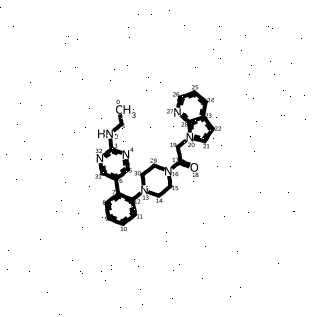 CCNc1ncc(-c2ccccc2N2CCN(C(=O)Cn3ccc4cccnc43)CC2)cn1